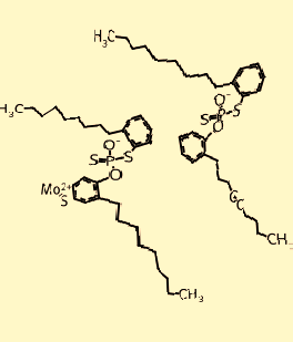 CCCCCCCCCc1ccccc1OP([O-])(=S)Sc1ccccc1CCCCCCCCC.CCCCCCCCCc1ccccc1OP([O-])(=S)Sc1ccccc1CCCCCCCCC.[S]=[Mo+2]